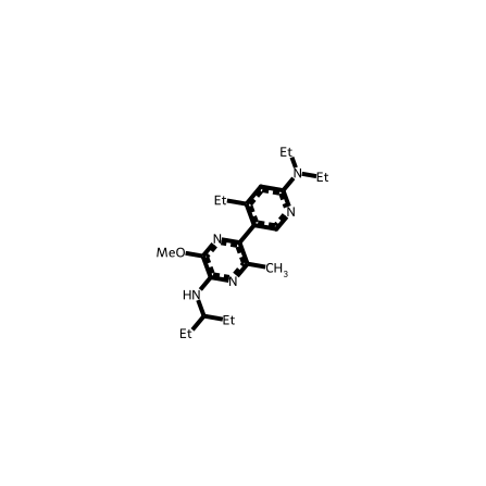 CCc1cc(N(CC)CC)ncc1-c1nc(OC)c(NC(CC)CC)nc1C